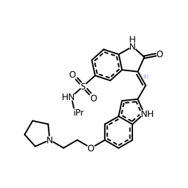 CC(C)NS(=O)(=O)c1ccc2c(c1)/C(=C\c1cc3cc(OCCN4CCCC4)ccc3[nH]1)C(=O)N2